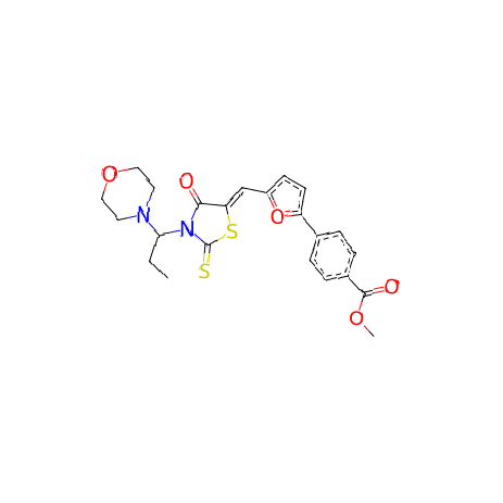 CCC(N1CCOCC1)N1C(=O)C(=Cc2ccc(-c3ccc(C(=O)OC)cc3)o2)SC1=S